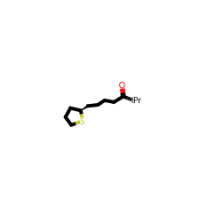 CC(C)C(=O)CCCC[C@@H]1CCCS1